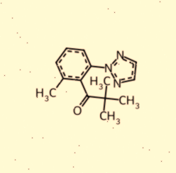 Cc1cccc(-n2nccn2)c1C(=O)C(C)(C)C